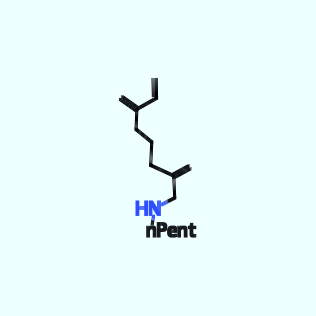 C=CC(=C)CCCC(=C)CNCCCCC